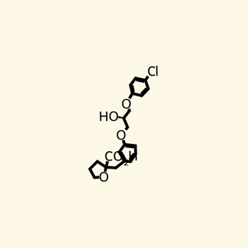 O=C(O)C1(Cc2cccc(OC[C@@H](O)COc3ccc(Cl)cc3)c2)CCCO1